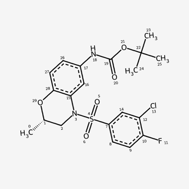 C[C@H]1CN(S(=O)(=O)c2ccc(F)c(Cl)c2)c2cc(NC(=O)OC(C)(C)C)ccc2O1